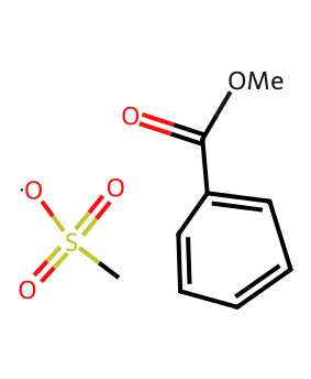 COC(=O)c1ccccc1.CS([O])(=O)=O